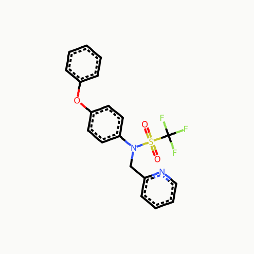 O=S(=O)(N(Cc1ccccn1)c1ccc(Oc2ccccc2)cc1)C(F)(F)F